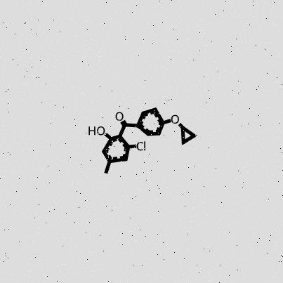 Cc1cc(O)c(C(=O)c2ccc(OC3CC3)cc2)c(Cl)c1